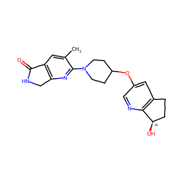 Cc1cc2c(nc1N1CCC(Oc3cnc4c(c3)CC[C@H]4O)CC1)CNC2=O